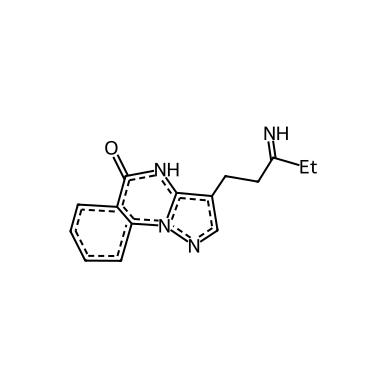 CCC(=N)CCc1cnn2c1[nH]c(=O)c1ccccc12